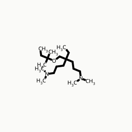 CCC(CCCN(C)C)(CCCN(C)C)COC(C)(C)CC